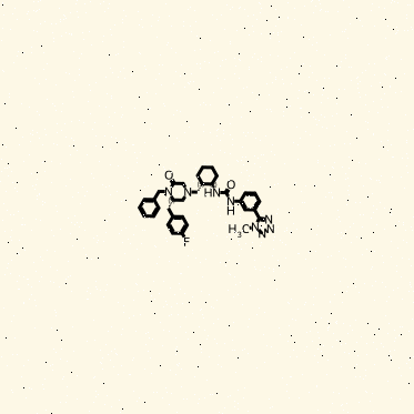 Cn1nnnc1-c1cccc(NC(=O)N[C@@H]2CCCC[C@H]2CN2CC(=O)N(Cc3ccccc3)[C@@H](Cc3ccc(F)cc3)C2)c1